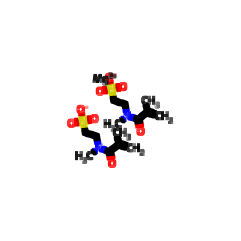 C=C(C)C(=O)N(C)CCS(=O)(=O)[O-].C=C(C)C(=O)N(C)CCS(=O)(=O)[O-].[Mg+2]